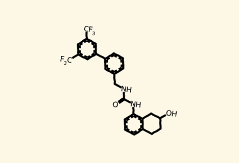 O=C(NCc1cccc(-c2cc(C(F)(F)F)cc(C(F)(F)F)c2)c1)Nc1cccc2c1CC(O)CC2